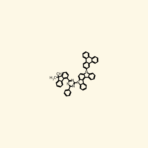 CC1(C)c2ccccc2-c2c(-c3nc(-c4ccccc4)nc(-n4c5ccccc5c5c6c7ccccc7n(-c7ccc8c9ccccc9c9ccccc9c8c7)c6ccc54)n3)cccc21